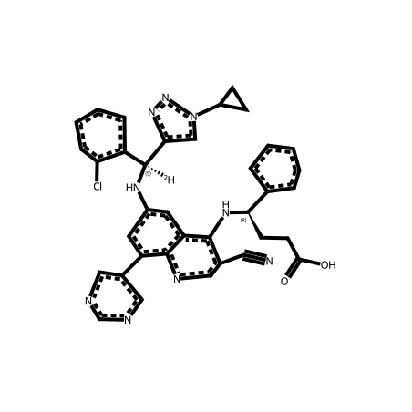 [2H][C@@](Nc1cc(-c2cncnc2)c2ncc(C#N)c(N[C@H](CCC(=O)O)c3ccccc3)c2c1)(c1cn(C2CC2)nn1)c1ccccc1Cl